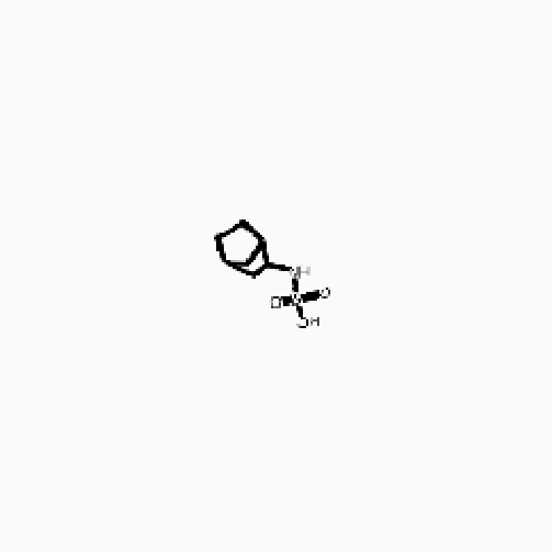 O=S(=O)(O)NC1CC2CCC1C2